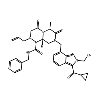 C=CCN1CC(=O)N2[C@@H](C)C(=O)N(Cc3cccc4c(C(=O)C5CC5)n(CC#N)nc34)C[C@@H]2N1C(=O)NCc1ccccc1